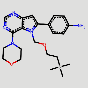 C[Si](C)(C)CCOCn1c(-c2ccc(N)cc2)cc2ncnc(N3CCOCC3)c21